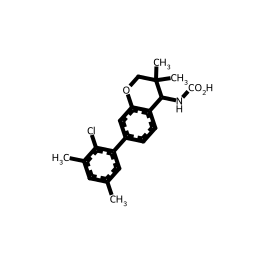 Cc1cc(C)c(Cl)c(-c2ccc3c(c2)OCC(C)(C)C3NC(=O)O)c1